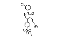 CC(C)CCCc1c(-c2ccc(S(C)(=O)=O)cc2)cnn(-c2cccc(Cl)c2)c1=O